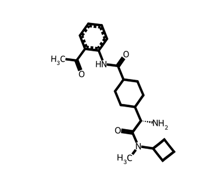 CC(=O)c1ccccc1NC(=O)C1CCC([C@H](N)C(=O)N(C)C2CCC2)CC1